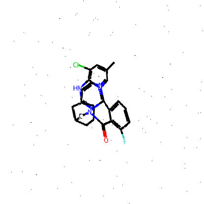 Cc1cnc(NC2CC3CCC2N(C(=O)c2c(F)cccc2-c2ncccn2)C3)c(Cl)c1